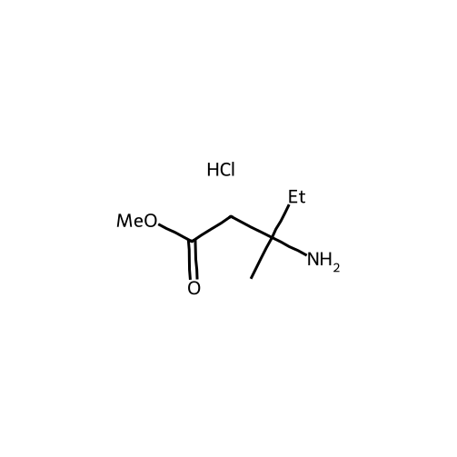 CCC(C)(N)CC(=O)OC.Cl